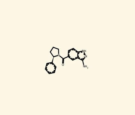 Nc1n[nH]c2ccc(C(=O)N3CCC[C@@H]3c3ccccc3)cc12